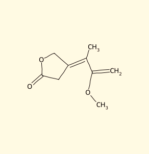 C=C(OC)/C(C)=C1/COC(=O)C1